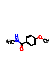 [CH]NC(=O)c1ccc(OC)cc1